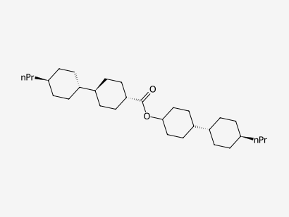 CCC[C@H]1CC[C@H](C2CCC(OC(=O)[C@H]3CC[C@H]([C@H]4CC[C@H](CCC)CC4)CC3)CC2)CC1